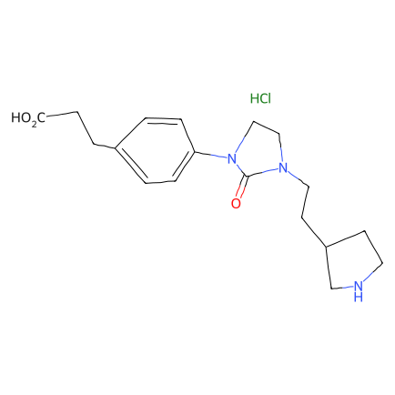 Cl.O=C(O)CCc1ccc(N2CCN(CCC3CCNC3)C2=O)cc1